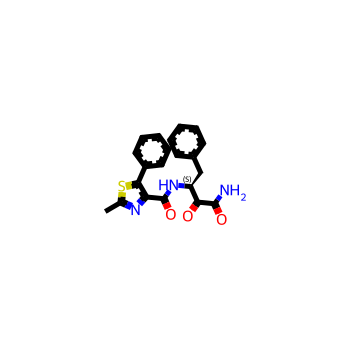 Cc1nc(C(=O)N[C@@H](Cc2ccccc2)C(=O)C(N)=O)c(-c2ccccc2)s1